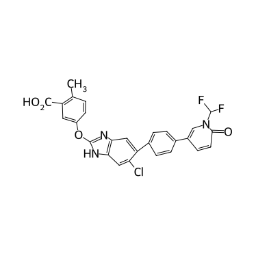 Cc1ccc(Oc2nc3cc(-c4ccc(-c5ccc(=O)n(C(F)F)c5)cc4)c(Cl)cc3[nH]2)cc1C(=O)O